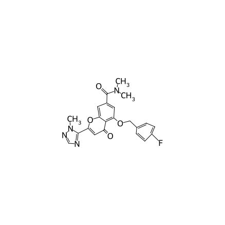 CN(C)C(=O)c1cc(OCc2ccc(F)cc2)c2c(=O)cc(-c3ncnn3C)oc2c1